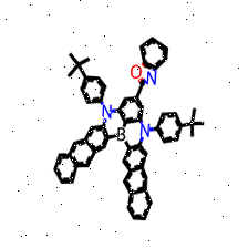 CC(C)(C)c1ccc(N2c3cc4cc5ccccc5cc4cc3B3c4cc5cc6ccccc6cc5cc4N(c4ccc(C(C)(C)C)cc4)c4cc(-c5nc6ccccc6o5)cc2c43)cc1